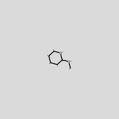 COC1CC[C]CO1